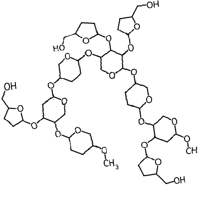 COC1CCC(OC2COC(OC3CCC(OC4COC(OC5CCC(OC6COC(OC)CC6OC6CCC(CO)O6)OC5)C(OC5CCC(CO)O5)C4OC4CCC(CO)O4)OC3)CC2OC2CCC(CO)O2)OC1